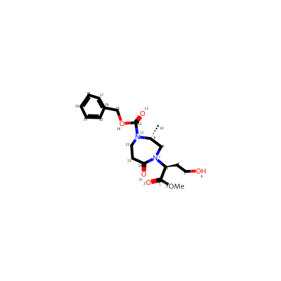 COC(=O)[C@H](CCO)N1C[C@@H](C)N(C(=O)OCc2ccccc2)CCC1=O